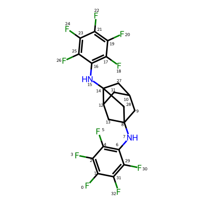 Fc1c(F)c(F)c(NC23CC4CC(C2)C(Nc2c(F)c(F)c(F)c(F)c2F)(C4)C3)c(F)c1F